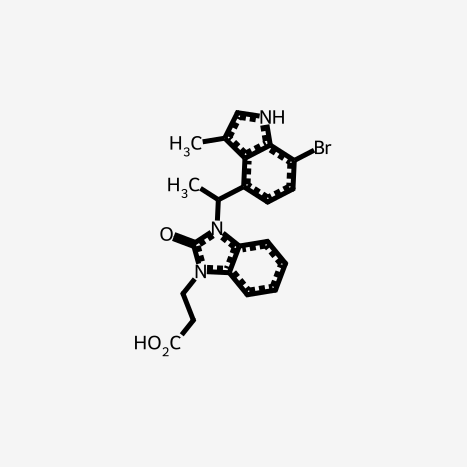 Cc1c[nH]c2c(Br)ccc(C(C)n3c(=O)n(CCC(=O)O)c4ccccc43)c12